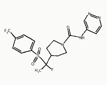 CC(F)(C1CCN(C(=O)Nc2ccnnc2)CC1)S(=O)(=O)c1ccc(C(F)(F)F)cc1